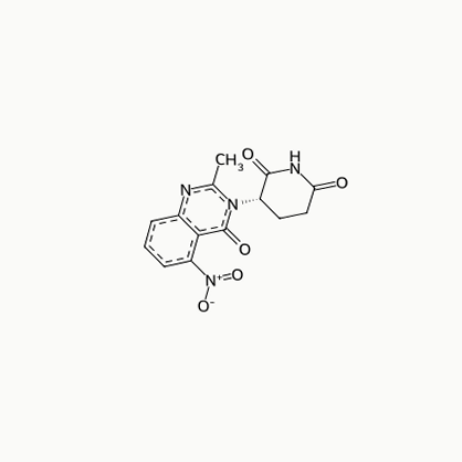 Cc1nc2cccc([N+](=O)[O-])c2c(=O)n1[C@H]1CCC(=O)NC1=O